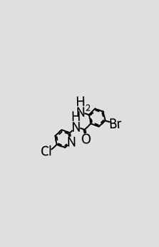 Nc1ccc(Br)cc1C(=O)Nc1ccc(Cl)cn1